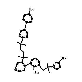 CC(C)(C)c1ccc(-c2ccc(C(C)(C)CCC(C)(C)c3ccccc3-c3cccc(CC(C)(C)c4ccc(C(C)(C)C)s4)c3C(C)(C)C)cc2)cc1